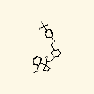 COc1ccccc1C1(C(O)CN2CCCC(COc3ccc(C(F)(F)F)cc3)C2)CCC1